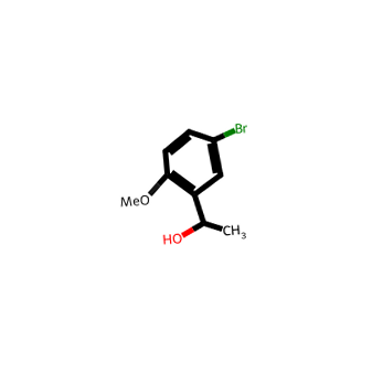 COc1ccc(Br)cc1C(C)O